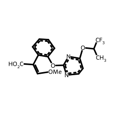 CO/C=C(/C(=O)O)c1ccccc1Oc1nccc(OC(C)C(F)(F)F)n1